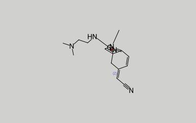 CN(C)CCNC1=C2CN(C)CC23C/C(=C/C#N)C=CC3=NC=C1